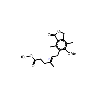 COc1c(C)c2c(c(C)c1C/C=C(\C)CCC(=O)OC(C)(C)C)C(=O)OC2